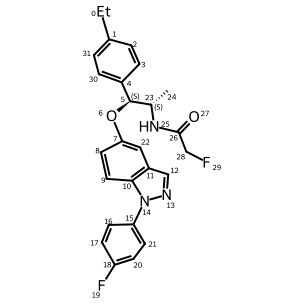 CCc1ccc([C@H](Oc2ccc3c(cnn3-c3ccc(F)cc3)c2)[C@H](C)NC(=O)CF)cc1